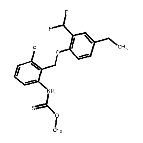 CCc1ccc(OCc2c(F)cccc2NC(=S)OC)c(C(F)F)c1